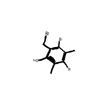 Cc1c(O)c(CBr)c(Br)c(C)c1Br